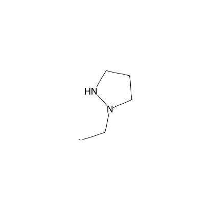 [CH2]CN1CCCN1